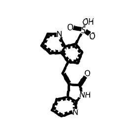 O=C1Nc2ncccc2C1=Cc1ccc(S(=O)(=O)O)c2ncccc12